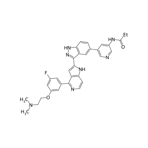 CCC(=O)Nc1cncc(-c2ccc3[nH]nc(-c4cc5c(-c6cc(F)cc(OCCN(C)C)c6)nccc5[nH]4)c3c2)c1